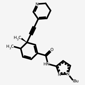 CCC(C)n1ccc(NC(=O)C2=C[C@@](C)(C#CC3=CCCN=C3)C(C)C=C2)n1